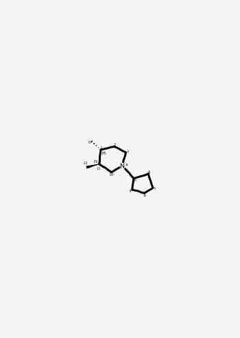 C[C@@H]1CCN(C2CCCC2)C[C@H]1C